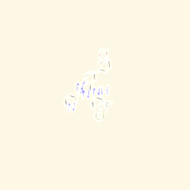 COc1cccc(-c2ccc3nc(-c4cccnc4)nc(Nc4ccc(Cl)c(F)c4)c3c2)c1